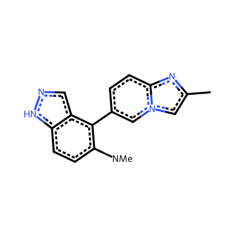 CNc1ccc2[nH]ncc2c1-c1ccc2nc(C)cn2c1